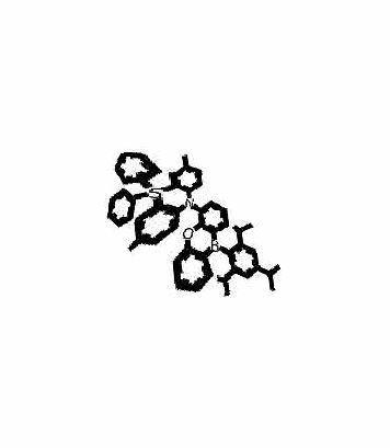 Cc1ccc2c(c1)S(c1ccccc1)(c1ccccc1)c1cc(C)ccc1N2c1cccc2c1Oc1ccccc1B2c1c(C(C)C)cc(C(C)C)cc1C(C)C